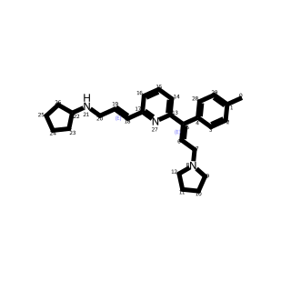 Cc1ccc(/C(=C\CN2CCCC2)c2cccc(/C=C/CNC3CCCC3)n2)cc1